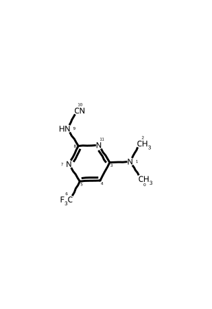 CN(C)c1cc(C(F)(F)F)nc(NC#N)n1